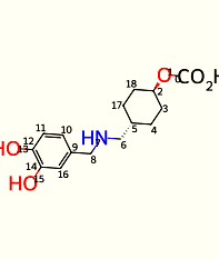 O=C(O)O[C@H]1CC[C@H](CNCc2ccc(O)c(O)c2)CC1